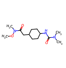 CON(C)C(=O)CC1CCC(NC(=O)N(C)C)CC1